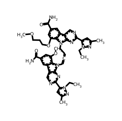 CCn1nc(C)cc1-c1ncc2c3cc(C(N)=O)cc(OC)c3n(C=C=CCn3c4nc(-c5cc(C)nn5CC)ncc4c4cc(C(N)=O)cc(OCCCOC)c43)c2n1